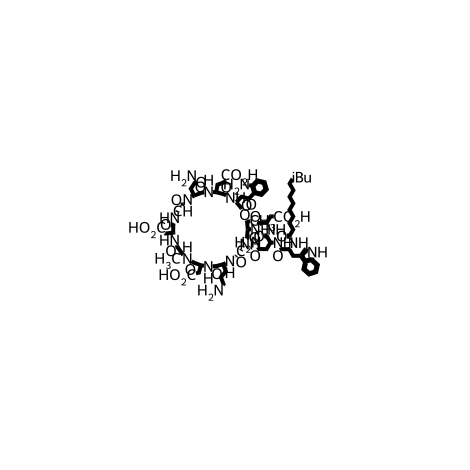 CCC(C)CCCCCCCCC(=O)NC(Cc1c[nH]c2ccccc12)C(=O)NC(CC(N)=O)C(=O)NC(CC(=O)O)C(=O)NC1C(=O)NCC(=O)NC(CCCN)C(=O)NC(CC(=O)O)C(=O)NC(C)C(=O)NC(CC(=O)O)C(=O)NCC(=O)NC(CC(N)=O)C(=O)NC(CCC(=O)O)C(=O)NC(CC(=O)c2ccccc2N)C(=O)OC1C